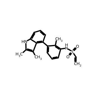 C=CS(=O)(=O)Nc1cccc(-c2cccc3[nH]c(C)c(C)c23)c1C